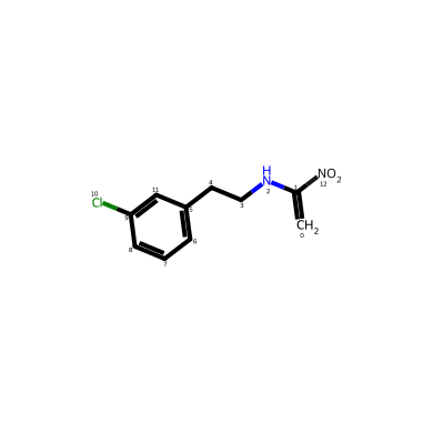 C=C(NCCc1cccc(Cl)c1)[N+](=O)[O-]